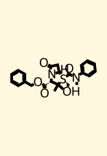 CN(C(=O)[S@@]1(CO)[C@@H]2CC(=O)N2[C@@H](C(=O)OCc2ccccc2)C1(C)C)c1ccccc1